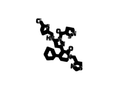 O=C(c1ccns1)n1nc(-c2c(-c3ccccc3)ccn(Cc3cscn3)c2=O)cc1NCc1ccc(Cl)s1